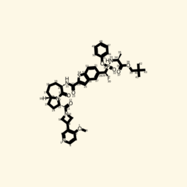 COc1ccncc1C1CN(C(=O)[C@@H]2CC[C@@H]3CCC[C@H](NC(=O)c4cc5cc([C@H](F)[P@@](=O)(N[C@@H](C)C(=O)OCC(C)(C)C)Oc6ccccc6)ccc5s4)C(=O)N32)C1